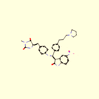 CN1C(=O)N/C(=C\c2ccc(N/C(=C3\C(=O)Nc4ccc([N+](=O)[O-])cc43)c3ccc(CCCN4CCCC4)cc3)cc2)C1=O